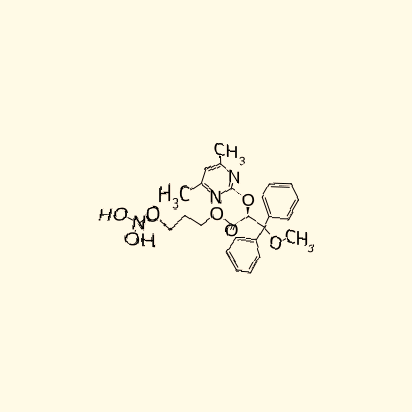 COC(c1ccccc1)(c1ccccc1)[C@H](Oc1nc(C)cc(C)n1)C(=O)OCCCON(O)O